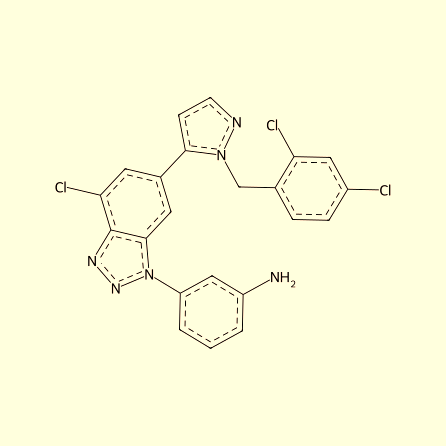 Nc1cccc(-n2nnc3c(Cl)cc(-c4ccnn4Cc4ccc(Cl)cc4Cl)cc32)c1